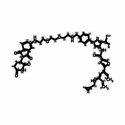 C=N/C(=C\C(=C/C)c1nc(C(=O)Nc2cn(-c3ccc(CNCCOCCOCCNc4ccc5c(c4)C(=O)N(C4CCC(=O)NC4=O)C5=O)cc3)nc2C(F)F)co1)NCC1CC1